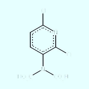 O=C(O)N(C(=O)O)c1ccc(Cl)nc1Cl